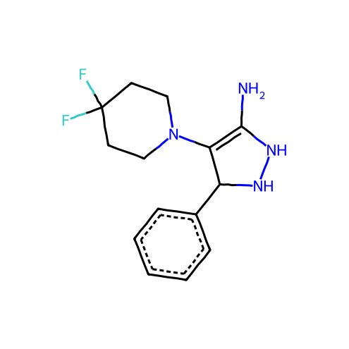 NC1=C(N2CCC(F)(F)CC2)C(c2ccccc2)NN1